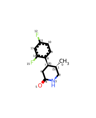 C[C@@H]1CNC(=O)C[C@H]1c1ccc(F)cc1F